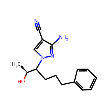 C[C@H](O)C(CCCc1ccccc1)n1cc(C#N)c(N)n1